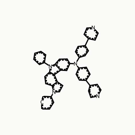 c1ccc(-n2ccc3c4c5cc(N(c6ccc(-c7ccncc7)cc6)c6ccc(-c7ccncc7)cc6)ccc5n(-c5ccccc5)c4ccc32)cc1